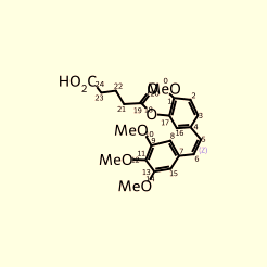 COc1ccc(/C=C\c2cc(OC)c(OC)c(OC)c2)cc1OC(=O)CCCC(=O)O